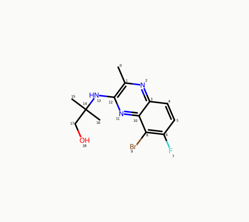 Cc1nc2ccc(F)c(Br)c2nc1NC(C)(C)CO